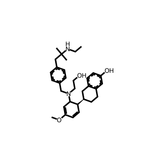 CCNC(C)(C)Cc1ccc(CN(CCO)C2C=C(OC)C=CC2[C@@H]2CCc3cc(O)ccc3C2)cc1